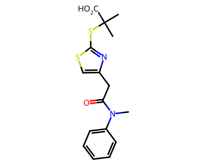 CN(C(=O)Cc1csc(SC(C)(C)C(=O)O)n1)c1ccccc1